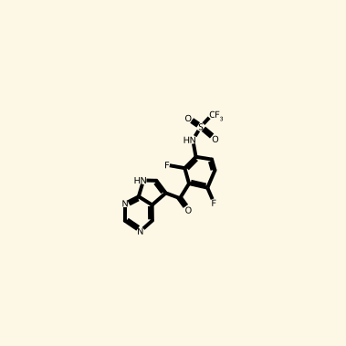 O=C(c1c(F)ccc(NS(=O)(=O)C(F)(F)F)c1F)c1c[nH]c2ncncc12